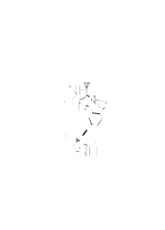 NC(=O)c1nc2n(c1C1CC1)C1CC(C1)c1cc(F)c(C#CC3(O)CCNC3=O)cc1-2